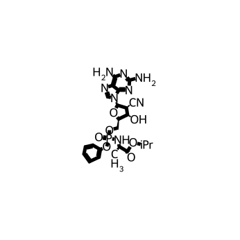 CC(C)OC(=O)[C@@H](C)NP(=O)(OC[C@H]1O[C@@H](n2cnc3c(N)nc(N)nc32)[C@H](C#N)[C@@H]1O)Oc1ccccc1